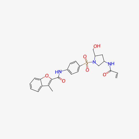 C=CC(=O)NC1CC(CO)N(S(=O)(=O)c2ccc(NC(=O)c3oc4ccccc4c3C)cc2)C1